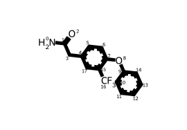 NC(=O)Cc1ccc(Oc2ccccc2)c(C(F)(F)F)c1